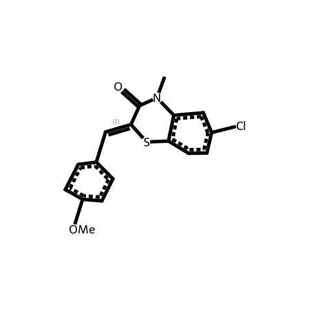 COc1ccc(/C=C2\Sc3ccc(Cl)cc3N(C)C2=O)cc1